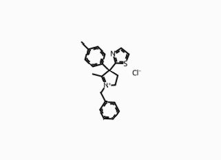 CC1=[N+](Cc2ccccc2)CCC1(c1ccc(C)cc1)c1nccs1.[Cl-]